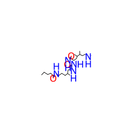 CCCCC(=O)NCCCC(C)CC(NC)C(=O)NC(CC(C)C(C)CCNC)C(=O)NC